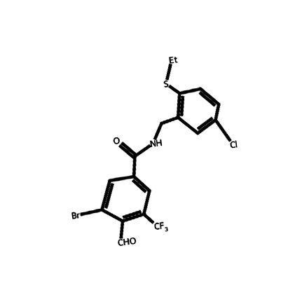 CCSc1ccc(Cl)cc1CNC(=O)c1cc(Br)c(C=O)c(C(F)(F)F)c1